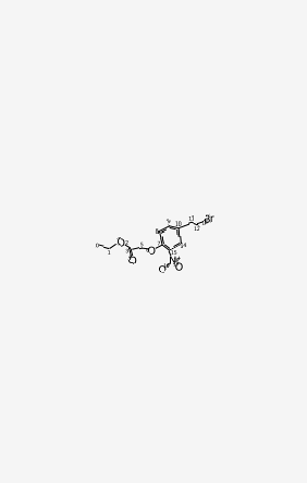 CCOC(=O)COc1ccc(CCBr)cc1[N+](=O)[O-]